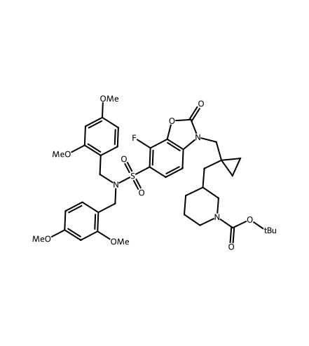 COc1ccc(CN(Cc2ccc(OC)cc2OC)S(=O)(=O)c2ccc3c(oc(=O)n3CC3(CC4CCCN(C(=O)OC(C)(C)C)C4)CC3)c2F)c(OC)c1